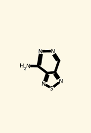 Nc1nncc2nsnc12